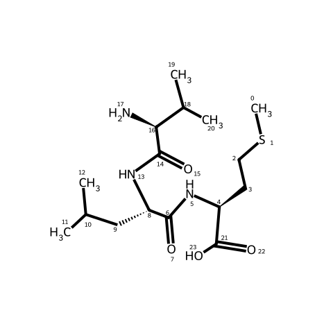 CSCC[C@H](NC(=O)[C@H](CC(C)C)NC(=O)[C@@H](N)C(C)C)C(=O)O